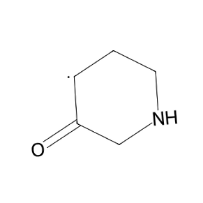 O=C1[CH]CCNC1